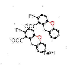 CC(C)c1ccc2c(c1C(=O)[O-])Cc1ccccc1O2.CC(C)c1ccc2c(c1C(=O)[O-])Cc1ccccc1O2.[Te+2]